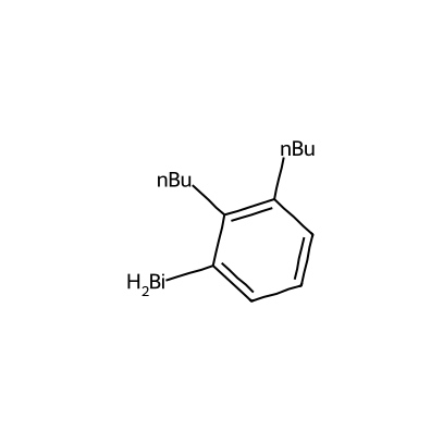 CCCCc1ccc[c]([BiH2])c1CCCC